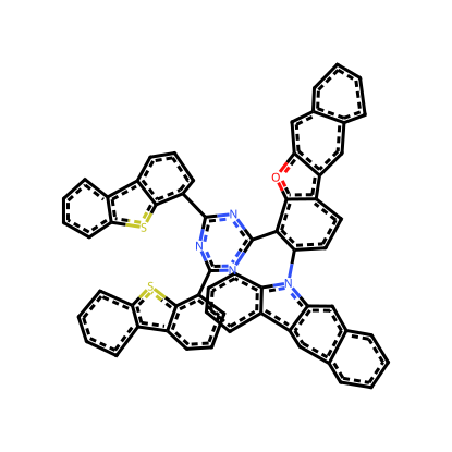 c1ccc2cc3c(cc2c1)oc1c(-c2nc(-c4cccc5c4sc4ccccc45)nc(-c4cccc5c4sc4ccccc45)n2)c(-n2c4ccccc4c4cc5ccccc5cc42)ccc13